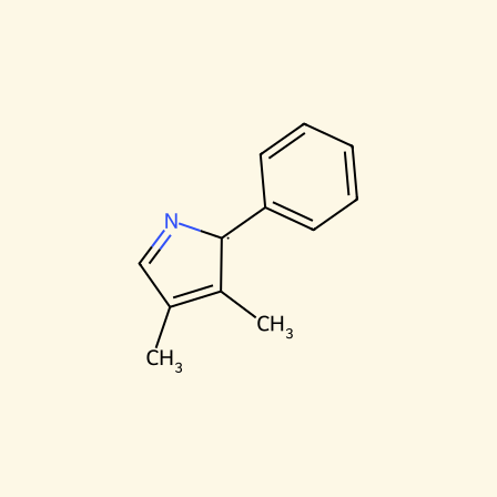 CC1=C(C)[C](c2ccccc2)N=C1